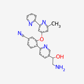 Cc1cc(Oc2cc(C#N)ccc2-c2ccc(C(O)CN)cn2)cc(-c2ccccn2)n1